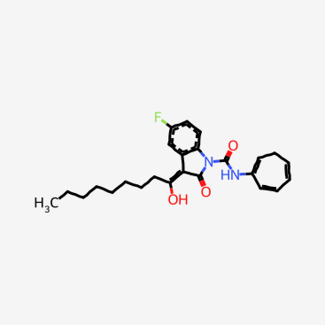 CCCCCCCC/C(O)=C1/C(=O)N(C(=O)NC2=CCC=CC=C2)c2ccc(F)cc21